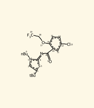 CCCCn1cc(C(C)(C)C)sc1=NC(=O)c1cc(Cl)ccc1OCC(F)(F)F